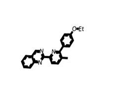 CCOc1ccc(-c2nc(-c3ncc4ccccc4n3)ccc2C)cc1